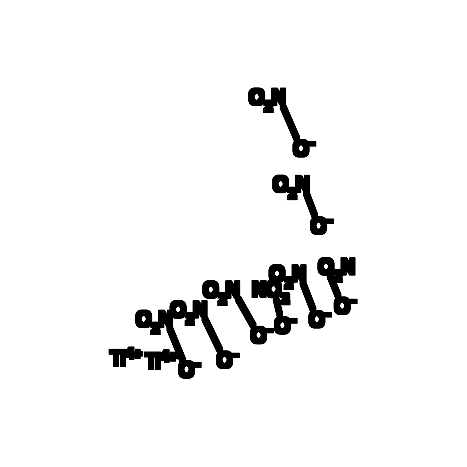 O=[N+]([O-])[O-].O=[N+]([O-])[O-].O=[N+]([O-])[O-].O=[N+]([O-])[O-].O=[N+]([O-])[O-].O=[N+]([O-])[O-].O=[N+]([O-])[O-].O=[N+]([O-])[O-].[Ti+4].[Ti+4]